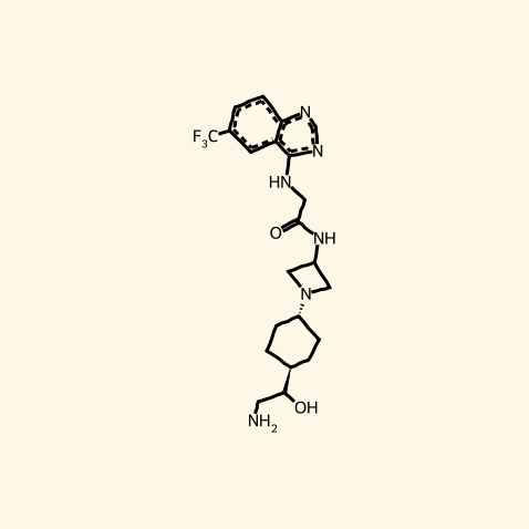 NCC(O)[C@H]1CC[C@H](N2CC(NC(=O)CNc3ncnc4ccc(C(F)(F)F)cc34)C2)CC1